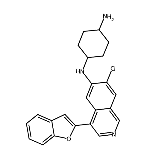 NC1CCC(Nc2cc3c(-c4cc5ccccc5o4)cncc3cc2Cl)CC1